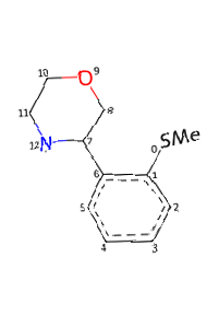 CSc1ccccc1C1COCC[N]1